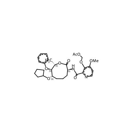 COc1ccnc(C(=O)N[C@H]2CCC[C@H](OC3CCCC3)[C@@H](Oc3ccccc3)[C@H](C)OC2=O)c1OCOC(C)=O